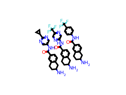 NC1CCc2cc(C(=O)Nc3ccc(C(F)(F)F)cc3)ccc2C1.NC1CCc2cc(C(=O)Nc3cnc(C(F)(F)F)cn3)ccc2C1.NC1CCc2cc(C(=O)Nc3cnc(C4CC4)nc3)ccc2C1